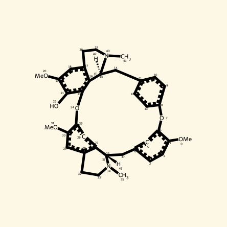 COc1ccc2cc1Oc1ccc(cc1)C[C@H]1c3c(cc(OC)c(O)c3Oc3cc4c(cc3OC)CCN(C)[C@H]4C2)CCN1C